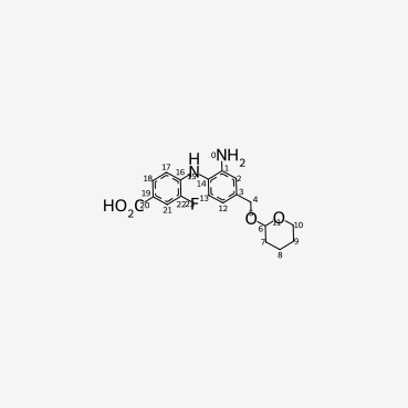 Nc1cc(COC2CCCCO2)ccc1Nc1ccc(C(=O)O)cc1F